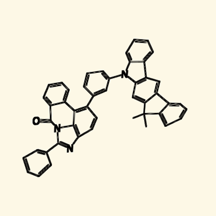 CC1(C)c2ccccc2-c2cc3c4ccccc4n(-c4cccc(-c5ccc6nc(-c7ccccc7)n7c(=O)c8ccccc8c5c67)c4)c3cc21